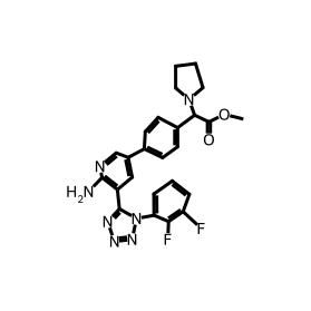 COC(=O)C(c1ccc(-c2cnc(N)c(-c3nnnn3-c3cccc(F)c3F)c2)cc1)N1CCCC1